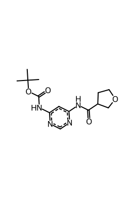 CC(C)(C)OC(=O)Nc1cc(NC(=O)C2CCOC2)ncn1